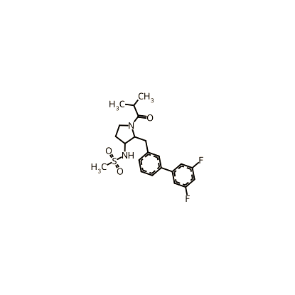 CC(C)C(=O)N1CCC(NS(C)(=O)=O)C1Cc1cccc(-c2cc(F)cc(F)c2)c1